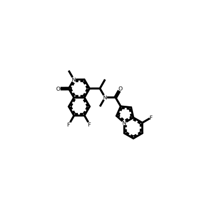 CC(c1cn(C)c(=O)c2cc(F)c(F)cc12)N(C)C(=O)c1cc2c(F)cccn2c1